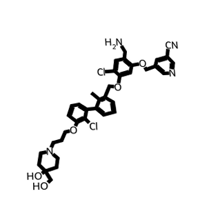 Cc1c(COc2cc(OCc3cncc(C#N)c3)c(CN)cc2Cl)cccc1-c1cccc(OCCCN2CCC(O)(CO)CC2)c1Cl